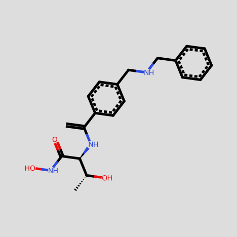 C=C(N[C@H](C(=O)NO)[C@@H](C)O)c1ccc(CNCc2ccccc2)cc1